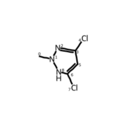 CN1N=C(Cl)C=C(Cl)N1